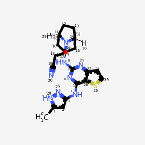 Cc1cc(Nc2nc(N[C@@H]3C[C@H]4CC[C@@H](C3)N4CCC#N)nc3ccsc23)n[nH]1